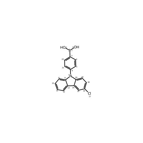 OB(O)c1ccc(-n2c3ccccc3c3cc(Cl)ccc32)cc1